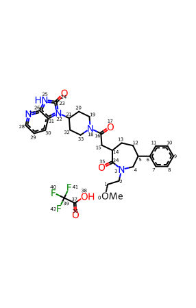 COCCN1CC(c2ccccc2)CCC(CC(=O)N2CCC(n3c(=O)[nH]c4ncccc43)CC2)C1=O.O=C(O)C(F)(F)F